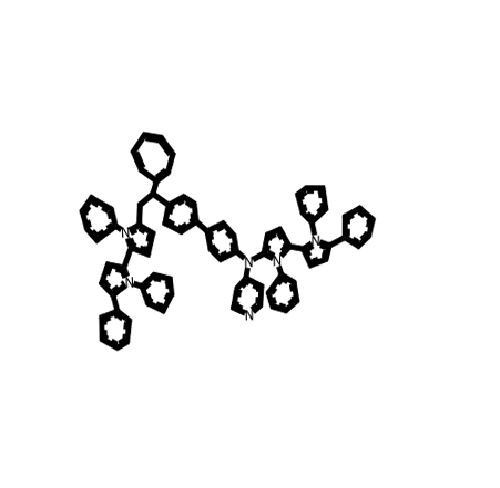 C1=CC=CC(C(Cc2ccc(-c3ccc(-c4ccccc4)n3-c3ccccc3)n2-c2ccccc2)c2ccc(-c3ccc(N(c4ccncc4)c4ccc(-c5ccc(-c6ccccc6)n5-c5ccccc5)n4-c4ccccc4)cc3)cc2)=CC=1